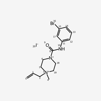 C=CC[N+]1(C)CCN(C(=O)Nc2cccc(Br)c2)CC1.[I-]